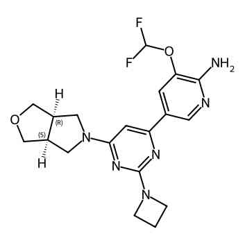 Nc1ncc(-c2cc(N3C[C@H]4COC[C@H]4C3)nc(N3CCC3)n2)cc1OC(F)F